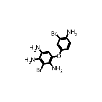 Nc1ccc(Oc2cc(N)c(N)c(Br)c2N)cc1Br